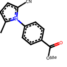 COC(=O)c1ccc(-n2c(C)ccc2C#N)cc1